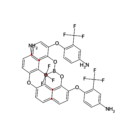 Nc1ccc(Oc2ccccc2OB(Oc2ccccc2Oc2ccc(N)cc2C(F)(F)F)Oc2ccccc2Oc2ccc(N)cc2C(F)(F)F)c(C(F)(F)F)c1